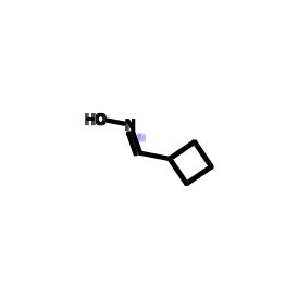 O/N=C/C1CCC1